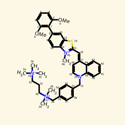 COc1cccc(OC)c1-c1ccc2c(c1)sc(C=C1C=CN(Cc3ccc(C[N+](C)(C)CCC[N+](C)(C)C)cc3)c3ccccc31)[n+]2C